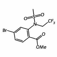 COC(=O)c1ccc(Br)cc1N(CC(F)(F)F)S(C)(=O)=O